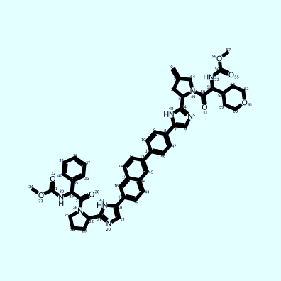 C=C1CC(c2ncc(-c3ccc(-c4ccc5cc(-c6cnc(C7CCCN7C(=O)C(NC(=O)OC)c7ccccc7)[nH]6)ccc5c4)cc3)[nH]2)N(C(=O)C(NC(=O)OC)C2CCOCC2)C1